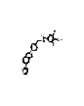 O=C(NCC1CCC(n2cc3ccc(-c4ccsn4)cc3n2)CC1)c1cc(F)c(O)c(F)c1